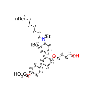 CCCCCCCCCCCCCCCCN(CC)c1ccc(-c2cc(-c3ccc(OC(=O)O)cc3)ccc2OCCCCO)cc1C(C)(C)C